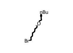 CCCCC#CCCO[CH]CCCCCCCBr